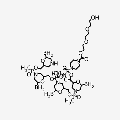 BC1CNCC(COP(C)(=O)N2CC(B)OC(COP(C)(=O)N3CC(B)OC(COP(C)(=O)N4CC(B)OC(COP(=O)(N(C)C)N5CCN(C(=O)OCCOCCOCCO)CC5)C4)C3)C2)O1